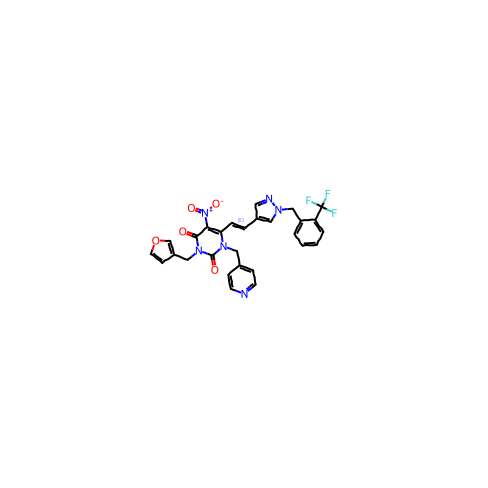 O=c1c([N+](=O)[O-])c(/C=C/c2cnn(Cc3ccccc3C(F)(F)F)c2)n(Cc2ccncc2)c(=O)n1Cc1ccoc1